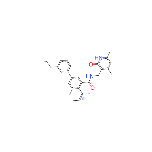 C/C=C(/C)c1c(C)cc(-c2cccc(CCC)c2)cc1C(=O)NCc1c(C)cc(C)[nH]c1=O